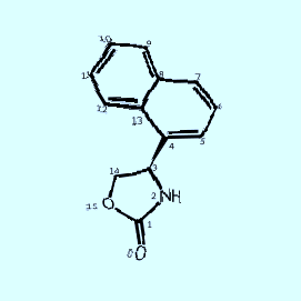 O=C1N[C@H](c2cccc3ccccc23)CO1